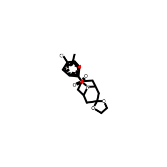 Cc1noc(C2CC3CC4(CC(C2)N3S(=O)(=O)c2ccc(Cl)cc2)OCCO4)n1